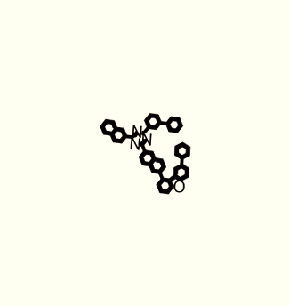 c1ccc(-c2cccc(-c3nc(-c4ccc5ccccc5c4)nc(-c4ccc5cc(-c6cccc7oc8ccc(-c9ccccc9)cc8c67)ccc5c4)n3)c2)cc1